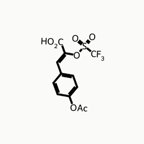 CC(=O)Oc1ccc(C=C(OS(=O)(=O)C(F)(F)F)C(=O)O)cc1